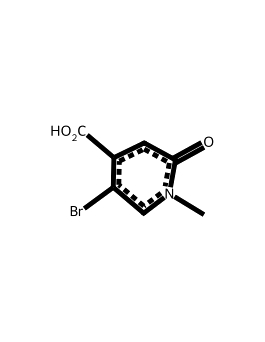 Cn1cc(Br)c(C(=O)O)cc1=O